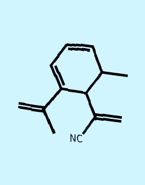 C=C(C)C1=CC=CC(C)C1C(=C)C#N